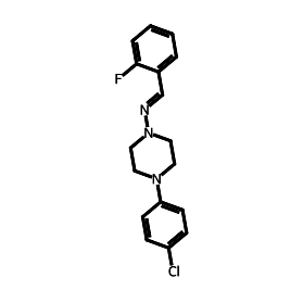 Fc1ccccc1C=NN1CCN(c2ccc(Cl)cc2)CC1